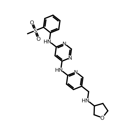 CS(=O)(=O)c1ccccc1Nc1cc(Nc2ccc(CNC3CCOC3)cn2)ncn1